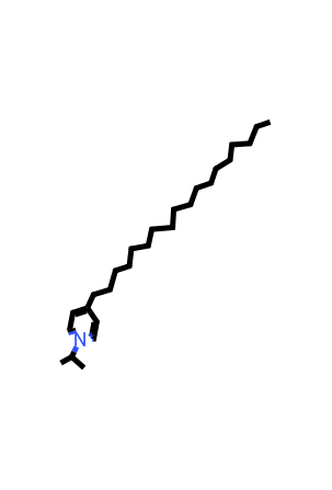 CCCCCCCCCCCCCCCCCCc1cc[n+](C(C)C)cc1